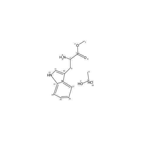 CCO.COC(=O)C(N)Cc1c[nH]c2ccccc12.Cl